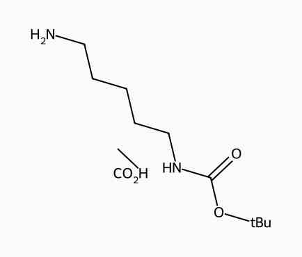 CC(=O)O.CC(C)(C)OC(=O)NCCCCCN